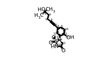 CC(C)(O)CCC#Cc1ccc(O)c(N2CC(=O)NS2(=O)=O)c1